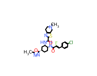 Cc1nnc([C@H]2CC[C@H](NC(=O)C(F)=Cc3ccc(Cl)cc3)[C@H](NC(=O)c3nc4c(s3)CN(C)CC4)C2)o1